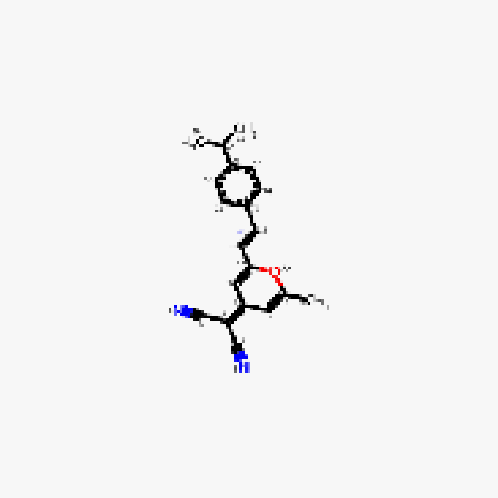 CC1=CC(=C(C#N)C#N)C=C(/C=C/c2ccc(C(C)C)cc2)O1